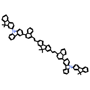 CC1(C)c2cc(/C=C/C3=CC=C(c4ccc5c(c4)c4ccccc4n5-c4ccc5c(c4)C(C)(C)c4ccccc4-5)C4C=CC=CC34)ccc2-c2ccc(/C=C/c3ccc(-c4ccc5c(c4)c4ccccc4n5-c4ccc5c(c4)C(C)(C)c4ccccc4-5)c4ccccc34)cc21